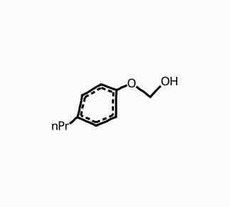 CCCc1ccc(OCO)cc1